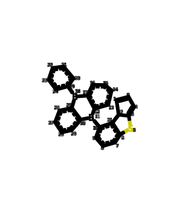 C1=CC2C(=C1)Sc1cccc(B3c4ccccc4B(c4ccccc4)c4ccccc43)c12